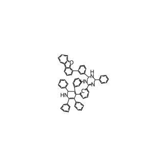 c1ccc(C2=C(c3ccccc3)C(c3cccc(C4=NC(c5ccccc5)NC(c5cccc(-c6cccc7c6oc6ccccc67)c5)N4)c3)=C(c3ccccc3)C(c3ccccc3)N2)cc1